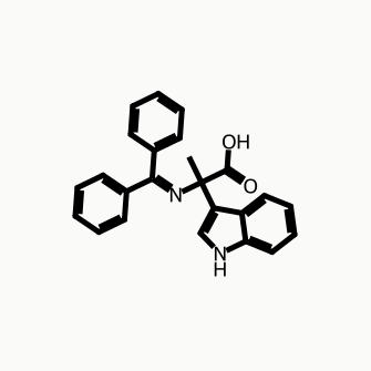 CC(N=C(c1ccccc1)c1ccccc1)(C(=O)O)c1c[nH]c2ccccc12